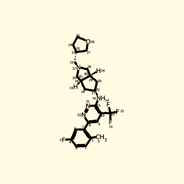 Cc1ccc(F)cc1-c1cc(C(F)(F)F)c(N[C@H]2C[C@@H]3CN(C[C@@H]4CCOC4)C[C@@H]3C2)nn1